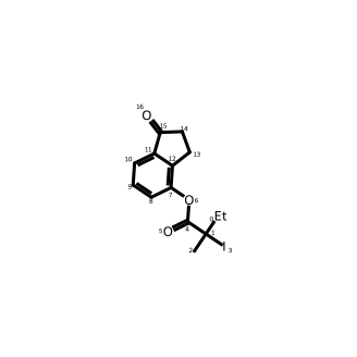 CCC(C)(I)C(=O)Oc1cccc2c1CCC2=O